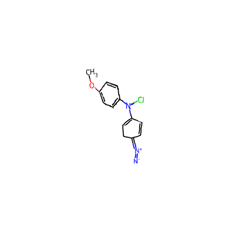 COc1ccc(N(Cl)C2=CCC(=[N+]=[N-])C=C2)cc1